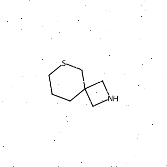 C1CSCC2(C1)CNC2